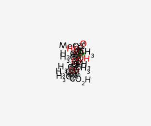 COC1=CC(=O)C=C(C)[C@]1(O)C(=O)Oc1c(C)c(C)c(C(=O)Oc2cc(C)c(C(=O)Oc3c(C)c(C)c(C(=O)O)c4c3CCC4)c(C)c2C)c(O)c1Br